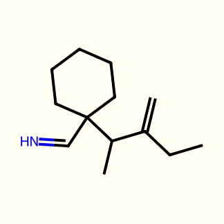 C=C(CC)C(C)C1(C=N)CCCCC1